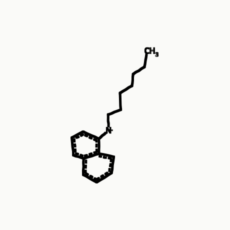 CCCCCCC[N]c1cccc2ccccc12